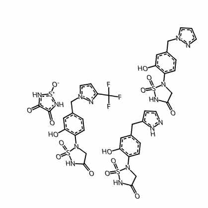 O=C1CN(c2ccc(Cc3ccn[nH]3)cc2O)S(=O)(=O)N1.O=C1CN(c2ccc(Cn3ccc(C(F)(F)F)n3)cc2O)S(=O)(=O)N1.O=C1CN(c2ccc(Cn3cccn3)cc2O)S(=O)(=O)N1.O=c1[nH][s+]([O-])[nH]c1=O